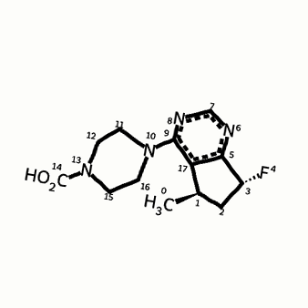 C[C@@H]1C[C@@H](F)c2ncnc(N3CCN(C(=O)O)CC3)c21